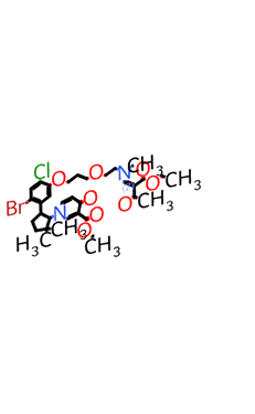 CCOC(=O)/C(=C\N(C)CCOCCCOc1cc(C2CCC(C)(C)C2n2ccc(=O)c(C(=O)OCC)c2)c(Br)cc1Cl)C(C)=O